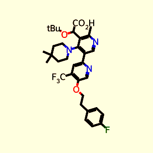 Cc1ncc(-c2cc(C(F)(F)F)c(OCCc3ccc(F)cc3)cn2)c(N2CCC(C)(C)CC2)c1C(OC(C)(C)C)C(=O)O